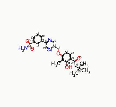 Cc1c(OCc2cnc(-c3cccc(S(N)(=O)=O)c3)cn2)ccc(C(=O)CC(C)(C)C)c1O